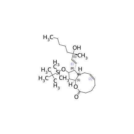 CCCCC[C@](C)(O)/C=C/[C@H]1C(O[Si](C)(C)C(C)(C)C)C[C@@H]2OC(=O)CCC/C=C\C[C@@H]21